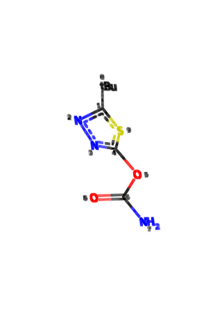 CC(C)(C)c1nnc(OC(N)=O)s1